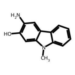 Cn1c2ccccc2c2cc(N)c(O)cc21